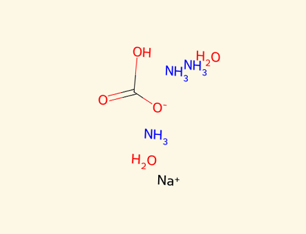 N.N.N.O.O.O=C([O-])O.[Na+]